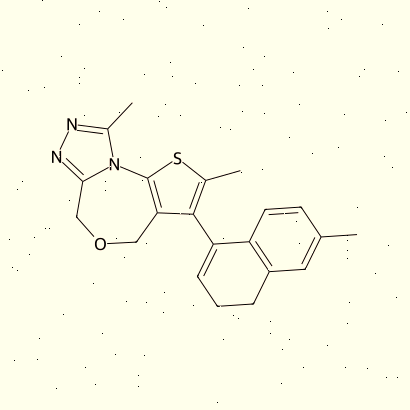 Cc1ccc2c(c1)CCC=C2c1c(C)sc2c1COCc1nnc(C)n1-2